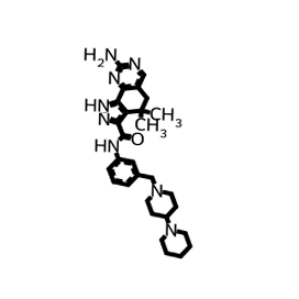 CC1(C)Cc2cnc(N)nc2-c2[nH]nc(C(=O)Nc3cccc(CN4CCC(N5CCCCC5)CC4)c3)c21